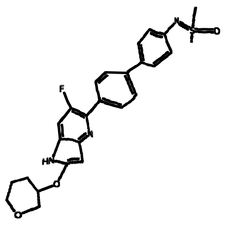 CS(C)(=O)=Nc1ccc(-c2ccc(-c3nc4cc(OC5CCCOC5)[nH]c4cc3F)cc2)cc1